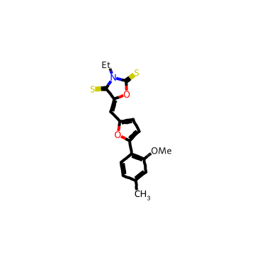 CCN1C(=S)O/C(=C\c2ccc(-c3ccc(C)cc3OC)o2)C1=S